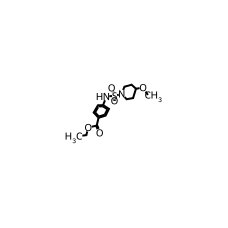 CCOC(=O)c1ccc(NS(=O)(=O)N2CCC(OC)CC2)cc1